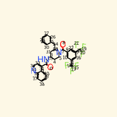 O=C(N[C@H]1CCN(C(=O)c2cc(C(F)(F)F)cc(C(F)(F)F)c2)[C@H](Cc2ccccc2)C1)c1ccnc2ccccc12